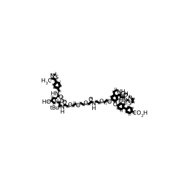 Cc1ncsc1-c1ccc(CNC(=O)[C@@H]2C[C@@H](O)CN2C(=O)C(NC(=O)COCCOCCOCC(=O)NCCOCCOc2cc3c(cc2Oc2ccc(-c4ccc(C(=O)O)cc4)c(F)c2)[C@@](C)(CC(=O)Nc2nccs2)NCC3)C(C)(C)C)cc1